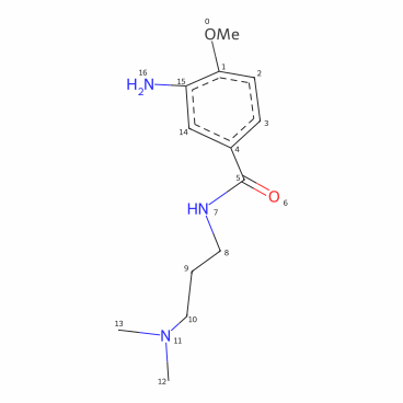 COc1ccc(C(=O)NCCCN(C)C)cc1N